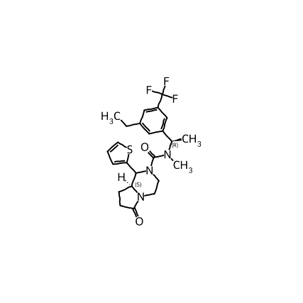 CCc1cc([C@@H](C)N(C)C(=O)N2CCN3C(=O)CC[C@H]3C2c2cccs2)cc(C(F)(F)F)c1